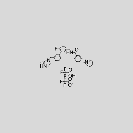 C[C@H]1CN(Cc2cccc(-c3cc(CNC(=O)c4cccc(C[N+]5(C)CCCCC5)c4)ccc3F)c2)CCN1.O=C(O)C(F)(F)F.O=C([O-])C(F)(F)F